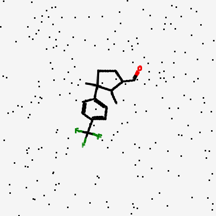 CC1C(C=O)CCC1(C)c1ccc(C(F)(F)F)cc1